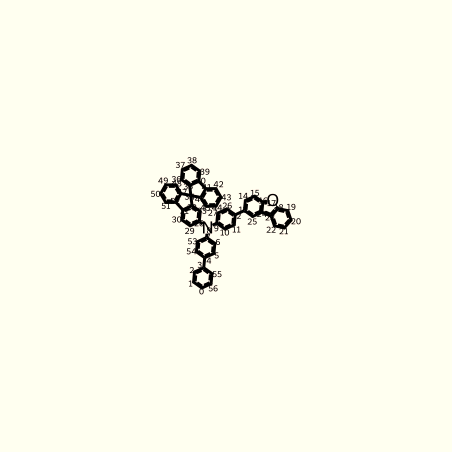 c1ccc(-c2ccc(N(c3ccc(-c4ccc5oc6ccccc6c5c4)cc3)c3ccc4c(c3)C3(c5ccccc5-c5ccccc53)c3ccccc3-4)cc2)cc1